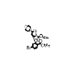 COC(=O)c1ccc(Br)cc1OC[C@H](CC(=O)N1CCOCC1)NC(=O)OC(C)(C)C